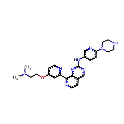 CN(C)CCOc1ccnc(-c2nccc3cnc(Nc4ccc(N5CCNCC5)nc4)nc23)c1